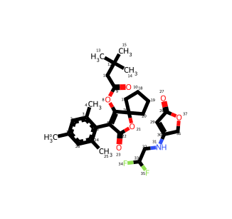 Cc1cc(C)c(C2=C(OC(=O)CC(C)(C)C)C3(CCCC3)OC2=O)c(C)c1.O=C1C=C(NCC(F)F)CO1